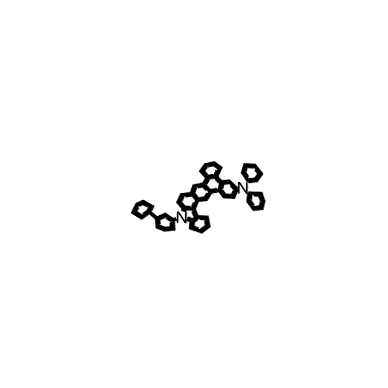 c1ccc(-c2cccc(-n3c4ccccc4c4c5cc6c7ccc(N(c8ccccc8)c8ccccc8)cc7c7ccccc7c6cc5ccc43)c2)cc1